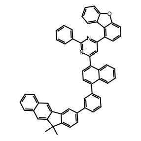 CC1(C)c2ccc(-c3cccc(-c4ccc(-c5cc(-c6cccc7oc8ccccc8c67)nc(-c6ccccc6)n5)c5ccccc45)c3)cc2-c2cc3ccccc3cc21